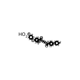 CC1CCN(c2ccc(C(=O)NCCNC(=O)c3ccc(O[C@H]4CC[C@@H](C(=O)O)CC4)cc3F)cc2)CC1